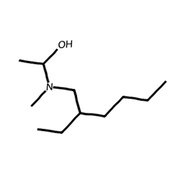 CCCCC(CC)CN(C)C(C)O